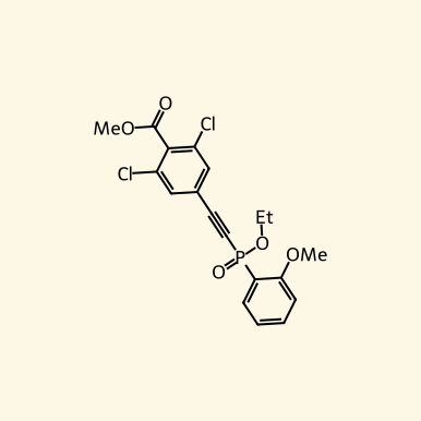 CCOP(=O)(C#Cc1cc(Cl)c(C(=O)OC)c(Cl)c1)c1ccccc1OC